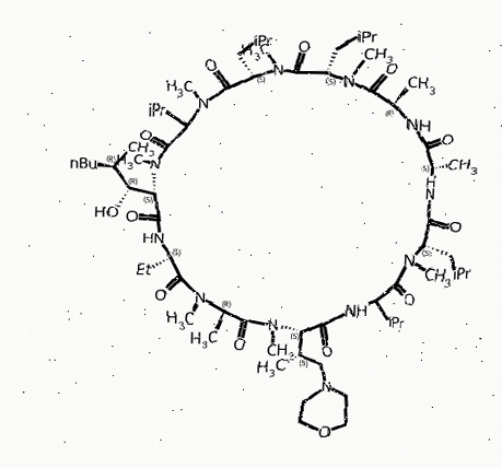 CCCC[C@@H](C)[C@@H](O)[C@H]1C(=O)N[C@@H](CC)C(=O)N(C)[C@H](C)C(=O)N(C)[C@@H]([C@@H](C)CN2CCOCC2)C(=O)NC(C(C)C)C(=O)N(C)[C@@H](CC(C)C)C(=O)N[C@@H](C)C(=O)N[C@H](C)C(=O)N(C)[C@@H](CC(C)C)C(=O)N(C)[C@@H](CC(C)C)C(=O)N(C)C(C(C)C)C(=O)N1C